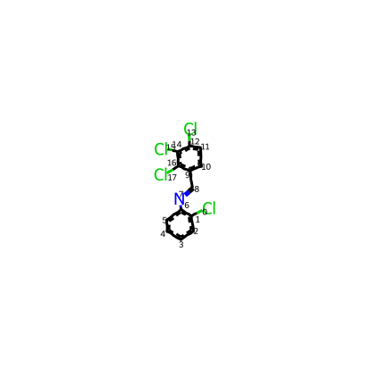 Clc1ccccc1/N=C/c1ccc(Cl)c(Cl)c1Cl